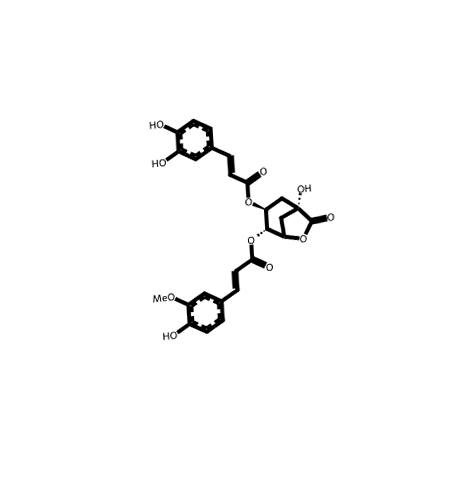 COc1cc(/C=C/C(=O)O[C@H]2C3C[C@@](O)(C[C@@H]2OC(=O)/C=C/c2ccc(O)c(O)c2)C(=O)O3)ccc1O